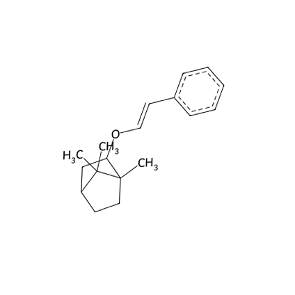 CC1(C)C2CCC1(C)C(OC=Cc1ccccc1)C2